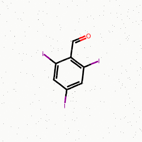 O=[C]c1c(I)cc(I)cc1I